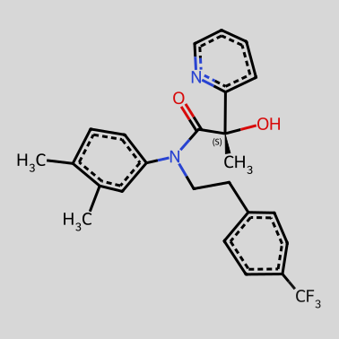 Cc1ccc(N(CCc2ccc(C(F)(F)F)cc2)C(=O)[C@@](C)(O)c2ccccn2)cc1C